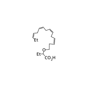 CC/C=C\C/C=C\C/C=C\C/C=C\CCOC(CC)C(=O)O